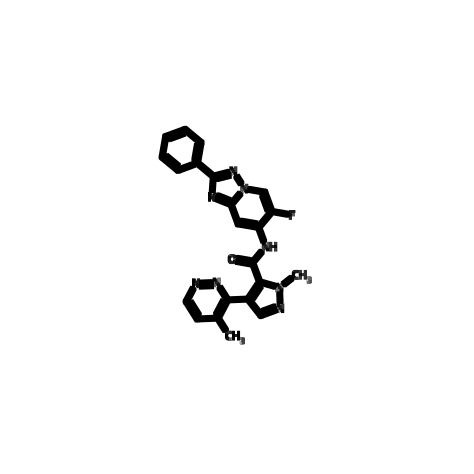 Cc1ccnnc1-c1cnn(C)c1C(=O)Nc1cc2nc(-c3ccccc3)nn2cc1F